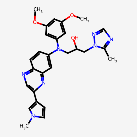 COc1cc(OC)cc(N(CC(O)Cn2ncnc2C)c2ccc3ncc(-c4ccn(C)c4)nc3c2)c1